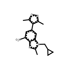 Cc1noc(C)c1-c1cc([N+](=O)[O-])c2nc(C)n(CC3CC3)c2c1